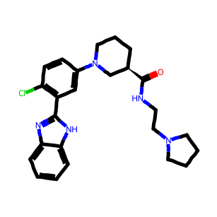 O=C(NCCN1CCCC1)[C@@H]1CCCN(c2ccc(Cl)c(-c3nc4ccccc4[nH]3)c2)C1